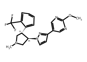 COc1ncc(-c2ccn([C@H]3CN(C)C[C@@H]3c3ccccc3C(F)(F)F)n2)cn1